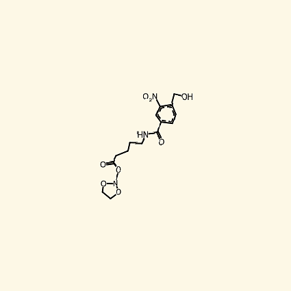 O=C(CCCCNC(=O)c1ccc(CO)c([N+](=O)[O-])c1)ON1OCCO1